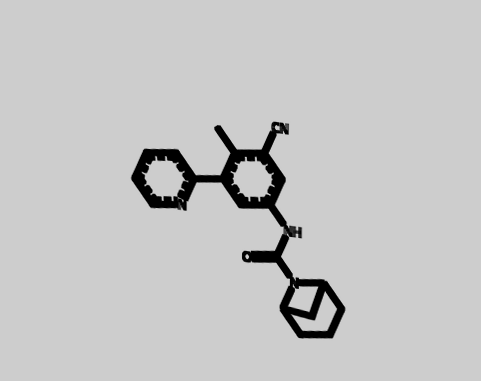 Cc1c(C#N)cc(NC(=O)N2C3CCCC2C3)cc1-c1ccccn1